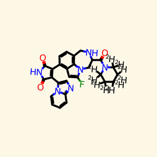 [2H]C1([2H])N(C(=O)C2Cn3c(F)cc4c(C5=C(c6cnc7ccccn67)C(=O)NC5=O)ccc(c43)CN2)C([2H])([2H])C([2H])([2H])C([2H])([2H])C1([2H])[2H]